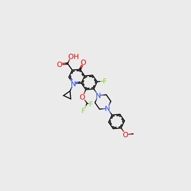 COc1ccc(N2CCN(c3c(F)cc4c(=O)c(C(=O)O)cn(C5CC5)c4c3OC(F)F)CC2)cc1